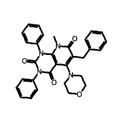 Cn1c(=O)c(Cc2ccccc2)c(N2CCOCC2)c2c(=O)n(-c3ccccc3)c(=O)n(-c3ccccc3)c21